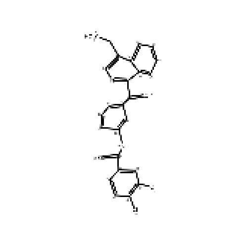 O=C(O)Cc1cnc(C(=O)c2cccc(NC(=O)c3ccc(Cl)c(Cl)c3)c2)c2ccccc12